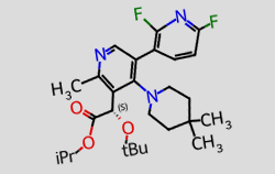 Cc1ncc(-c2ccc(F)nc2F)c(N2CCC(C)(C)CC2)c1[C@H](OC(C)(C)C)C(=O)OC(C)C